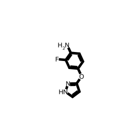 Nc1ccc(Oc2cc[nH]n2)cc1F